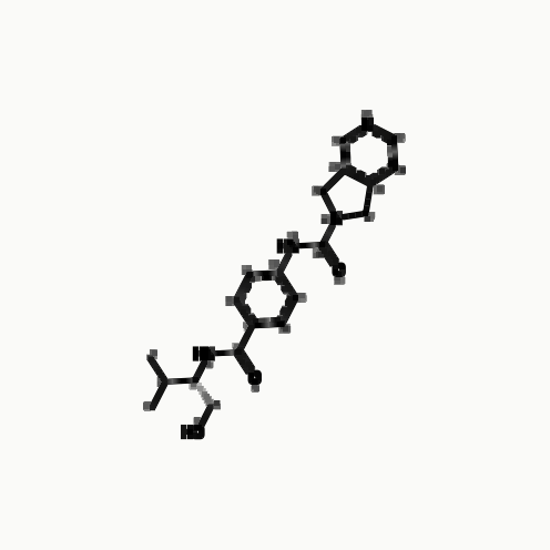 CC(C)[C@@H](CO)NC(=O)c1ccc(NC(=O)N2Cc3ccncc3C2)cc1